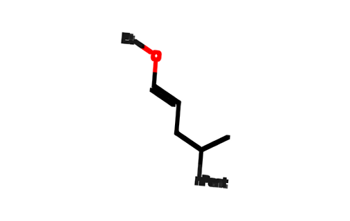 CCCCCC(C)CC=COCC